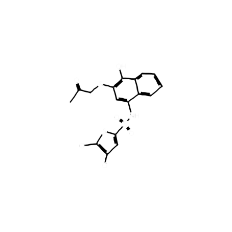 CC(=O)CSc1cc(NS(=O)(=O)c2cc(Cl)c(Cl)s2)c2ccccc2c1O